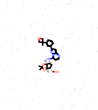 CC1(C)O[C@@H]2[C@@H](CO)C[C@@H](Nc3ccnc4cc(-c5cccc(C6(C)COC6)c5)nn34)[C@@H]2O1